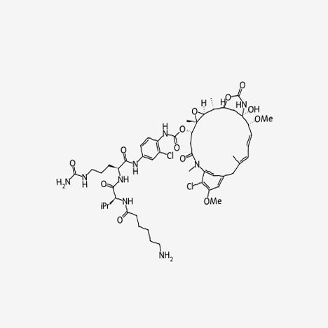 COc1cc2cc(c1Cl)N(C)C(=O)C[C@H](OC(=O)Nc1ccc(NC(=O)[C@H](CCCNC(N)=O)NC(=O)[C@@H](NC(=O)CCCCCN)C(C)C)cc1Cl)[C@]1(C)O[C@H]1[C@H](C)[C@@H]1C[C@@](O)(NC(=O)O1)[C@H](OC)/C=C/C=C(\C)C2